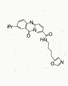 CC(C)c1ccc2nc3ccc(C(=O)NCCCCc4cnco4)cn3c(=O)c2c1